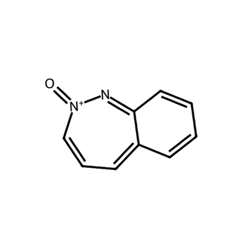 O=[n+]1cccc2ccccc2n1